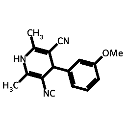 [C-]#[N+]C1=C(C)NC(C)=C(C#N)C1c1cccc(OC)c1